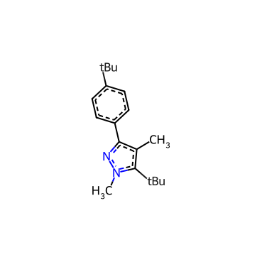 Cc1c(-c2ccc(C(C)(C)C)cc2)nn(C)c1C(C)(C)C